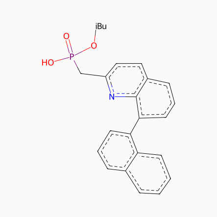 CCC(C)OP(=O)(O)Cc1ccc2cccc(-c3cccc4ccccc34)c2n1